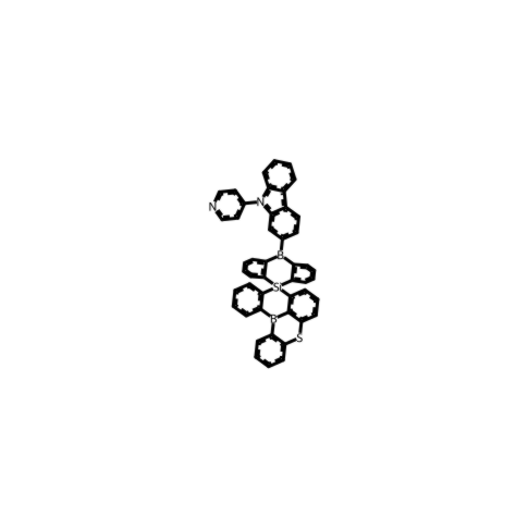 c1ccc2c(c1)Sc1cccc3c1B2c1ccccc1[Si]31c2ccccc2B(c2ccc3c4ccccc4n(-c4ccncc4)c3c2)c2ccccc21